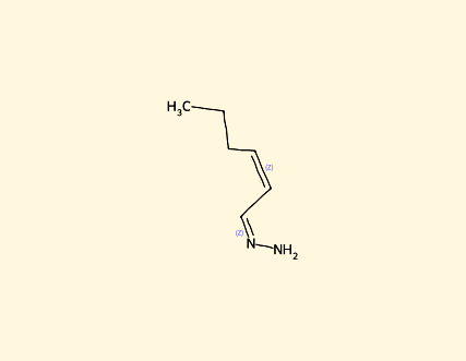 CCC/C=C\C=N/N